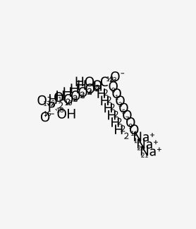 O.O.O.O.O.O.O.O.O.O.O.O.O=C([O-])O.O=P([O-])([O-])O.[Na+].[Na+].[Na+]